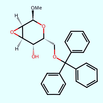 CO[C@H]1O[C@H](COC(c2ccccc2)(c2ccccc2)c2ccccc2)[C@H](O)[C@H]2O[C@@H]12